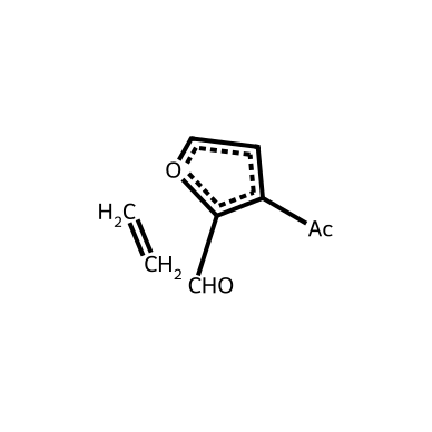 C=C.CC(=O)c1ccoc1C=O